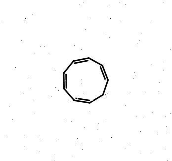 [CH]1\C=C/C=C\C=C/C=C\1